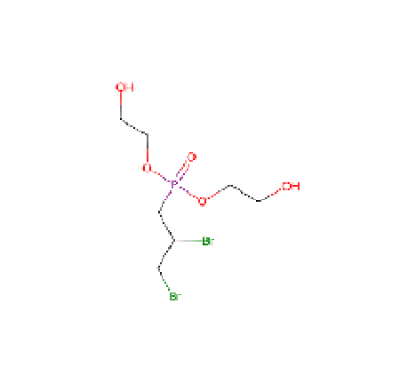 O=P(CC(Br)CBr)(OCCO)OCCO